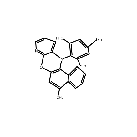 Cc1cc(C(C)(C)C)cc(C)c1N1c2cccnc2Oc2cc(C)c3ccccc3c21